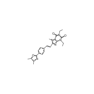 CCn1c(=O)c2c(nc(/C=C/c3ccc(-c4nc(C)c(C)o4)cc3)n2C)n(CC)c1=O